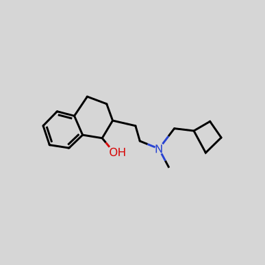 CN(CCC1CCc2ccccc2C1O)CC1CCC1